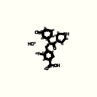 Cl.O=C(O)c1ccc(CN(C(=O)N2CCNCC2)c2cccc(Cl)c2)c(F)c1